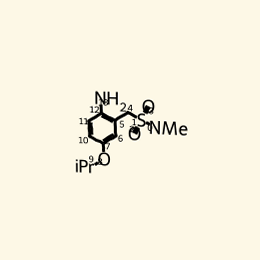 CNS(=O)(=O)Cc1cc(OC(C)C)ccc1N